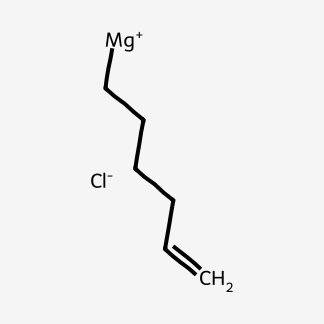 C=CCCC[CH2][Mg+].[Cl-]